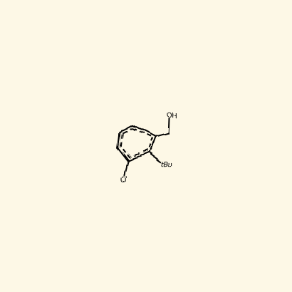 CC(C)(C)c1c(Cl)cccc1CO